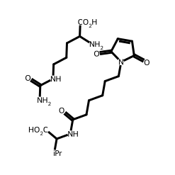 CC(C)C(NC(=O)CCCCCN1C(=O)C=CC1=O)C(=O)O.NC(=O)NCCCC(N)C(=O)O